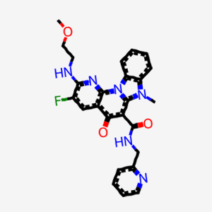 COCCNc1nc2c(cc1F)c(=O)c(C(=O)NCc1ccccn1)c1n(C)c3ccccc3n21